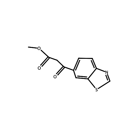 COC(=O)CC(=O)c1ccc2ncsc2c1